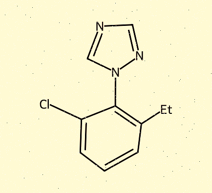 CCc1cccc(Cl)c1-n1cncn1